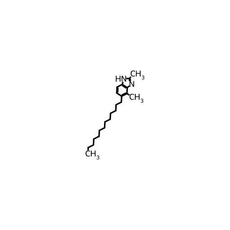 CCCCCCCCCCCCCc1ccc2[nH]c(C)nc2c1C